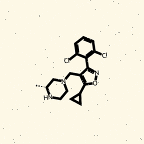 C[C@@H]1CN(Cc2c(-c3c(Cl)cccc3Cl)noc2C2CC2)CCN1